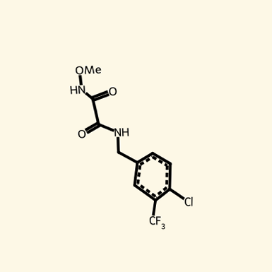 CONC(=O)C(=O)NCc1ccc(Cl)c(C(F)(F)F)c1